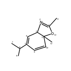 CC1=NC2C=C(C(C)C)C=CC2(C)O1